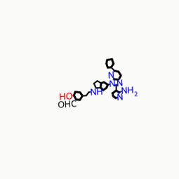 Nc1ncccc1-c1nc2ccc(-c3ccccc3)nc2n1-c1ccc2c(c1)CCC2NCCc1ccc(O)c(C=O)c1